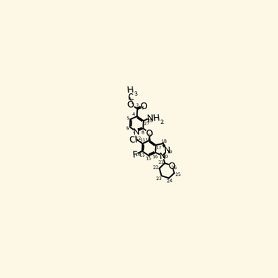 COC(=O)c1ccnc(Oc2c(Cl)c(F)cc3c2cnn3C2CCCCO2)c1N